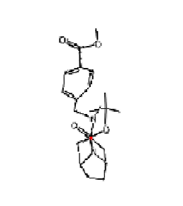 COC(=O)c1ccc(CN(C)C2CC3CCC(C2)N3C(=O)OC(C)(C)C)cc1